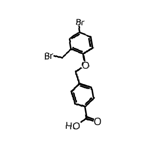 O=C(O)c1ccc(COc2ccc(Br)cc2CBr)cc1